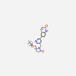 CN1C(=O)CCc2cc(-c3cncc(CN4C(=O)CC[C@H]4CO[Si](C)(C)C(C)(C)C)c3)ccc21